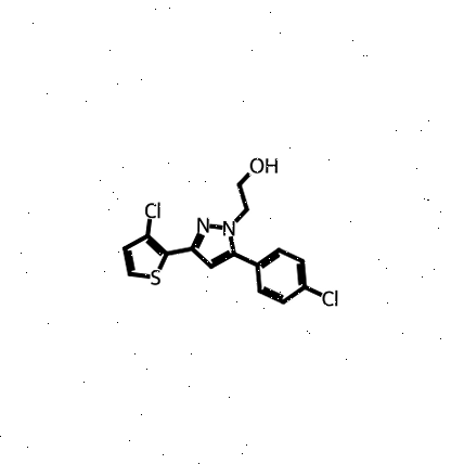 OCCn1nc(-c2sccc2Cl)cc1-c1ccc(Cl)cc1